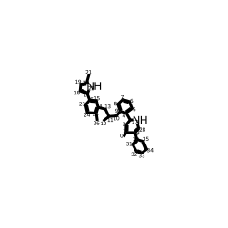 CC1=CC(c2ccccc2CC(C)Cc2cc(-c3ccc(C)[nH]3)ccc2C)NC=C1c1ccccc1